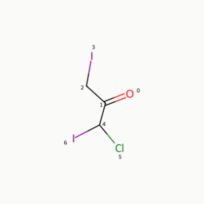 O=C(CI)C(Cl)I